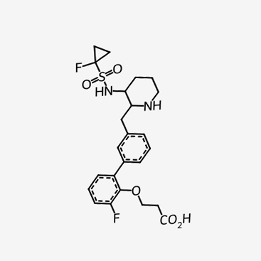 O=C(O)CCOc1c(F)cccc1-c1cccc(CC2NCCCC2NS(=O)(=O)C2(F)CC2)c1